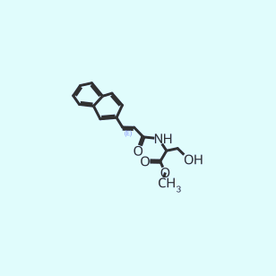 COC(=O)C(CO)NC(=O)/C=C/c1ccc2ccccc2c1